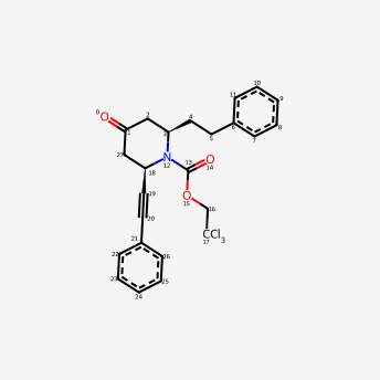 O=C1C[C@@H](CCc2ccccc2)N(C(=O)OCC(Cl)(Cl)Cl)[C@@H](C#Cc2ccccc2)C1